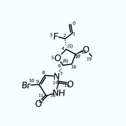 C=CC(F)[C@H]1O[C@@H](n2cc(Br)c(=O)[nH]c2=O)C[C@@H]1OC